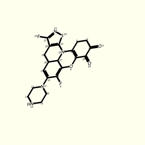 O=C1CCC2=C(OC3=C(F)C(N4CCNCC4)=CC4Cc5c(F)nsc5N2C34)C1=O